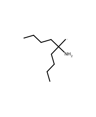 [CH2]C(N)(CCCC)CCCC